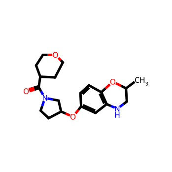 CC1CNc2cc(OC3CCN(C(=O)C4CCOCC4)C3)ccc2O1